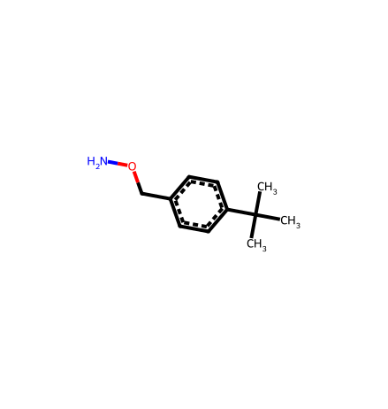 CC(C)(C)c1ccc(CON)cc1